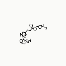 CCOC(=O)CCc1cnn(C2NCCO2)c1